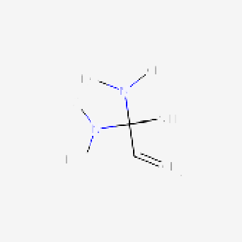 C=CC([SiH3])(N(C)C)N(C)C